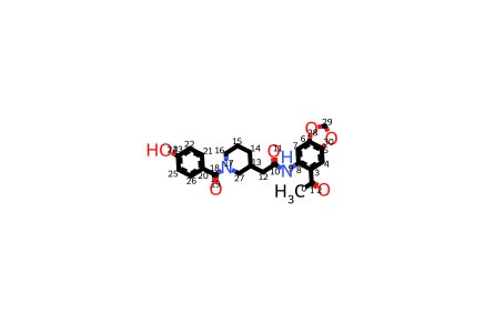 CC(=O)c1cc2c(cc1NC(=O)CC1CCCN(C(=O)c3ccc(O)cc3)C1)OCO2